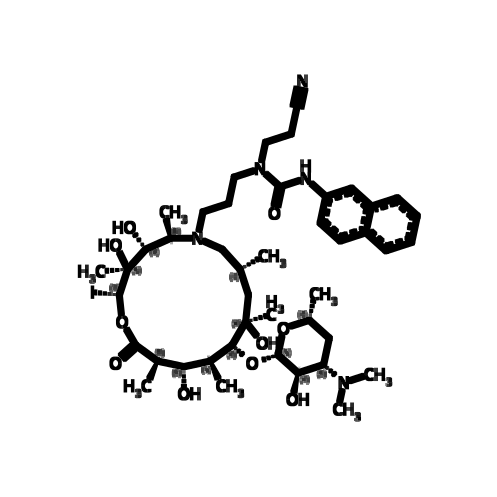 C[C@H]1CN(CCCN(CCC#N)C(=O)Nc2ccc3ccccc3c2)[C@H](C)[C@@H](O)[C@](C)(O)[C@@H](I)OC(=O)[C@H](C)[C@@H](O)[C@H](C)[C@@H](O[C@@H]2O[C@H](C)C[C@H](N(C)C)[C@H]2O)[C@](C)(O)C1